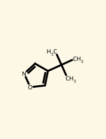 CC(C)(C)c1[c]noc1